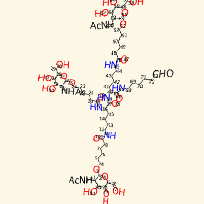 CC(=O)NC1C(OCCCCCC(=O)NCCCCC(NC(=O)CCCCCOC2OC(CO)C(O)C(O)C2NC(C)=O)C(=O)NC(CCCCNC(=O)CCCCCOC2OC(CO)C(O)C(O)C2NC(C)=O)C(=O)NCCCCCC=O)OC(CO)C(O)C1O